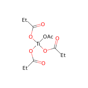 CCC(=O)[O][Ti]([O]C(C)=O)([O]C(=O)CC)[O]C(=O)CC